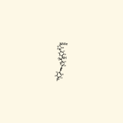 CNC1CCN(c2ccc(NC(=O)c3ccc(C#Cc4ccc(F)cc4)s3)cc2)C1